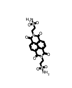 NS(=O)(=O)CCN1C(=O)c2ccc3c4c(ccc(c24)C1=O)C(=O)N(CCS(N)(=O)=O)C3=O